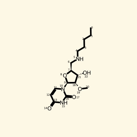 CCCCCNC[C@@H]1O[C@H](n2ccc(=O)[nH]c2=O)[C@@H](OC)[C@H]1O